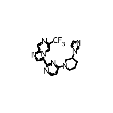 FC(F)(F)c1cn2c(-c3nccc(N4CCCC(n5ccnc5)C4)n3)cnc2cn1